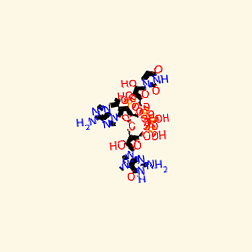 COC[C@H]1[C@@H](O)[C@H](n2c[n+](C)c3c(=O)[nH]c(N)nc32)O[C@@H]1COP(=O)(O)OP(=O)(O)OP(=O)(O)OC[C@H]1O[C@@H](n2cnc3c(N)ncnc32)[C@H](C(C)C)[C@@H]1P(=O)([O-])OC[C@H]1O[C@@H](n2ccc(=O)[nH]c2=O)[C@H](O)[C@@H]1O